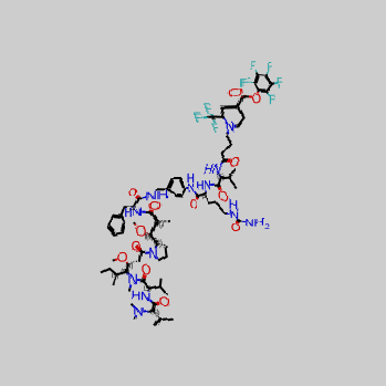 CC[C@H](C)[C@@H]([C@@H](CC(=O)N1CCC[C@H]1[C@H](OC)[C@@H](C)C(=O)N[C@@H](Cc1ccccc1)C(=O)NCc1ccc(NC(=O)[C@H](CCCNC(N)=O)NC(=O)[C@@H](NC(=O)CCCN2CCC(C(=O)Oc3c(F)c(F)c(F)c(F)c3F)CC2C(F)(F)F)C(C)C)cc1)OC)N(C)C(=O)[C@@H](NC(=O)[C@H](C(C)C)N(C)C)C(C)C